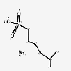 CC(C)CCCCS(=O)(=O)O.N